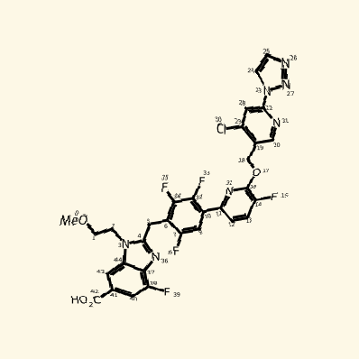 COCCn1c(Cc2c(F)cc(-c3ccc(F)c(OCc4cnc(-n5ccnn5)cc4Cl)n3)c(F)c2F)nc2c(F)cc(C(=O)O)cc21